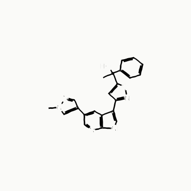 Cn1cc(-c2cnc3[nH]cc(-c4cc(C(C)(O)c5ccccc5)on4)c3c2)cn1